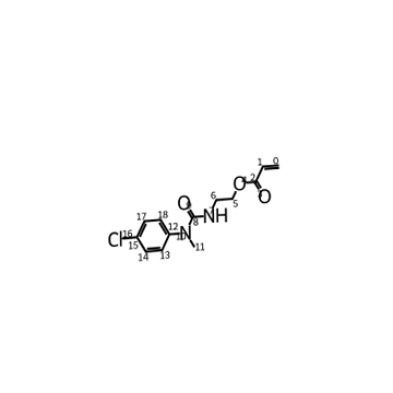 C=CC(=O)OCCNC(=O)N(C)c1ccc(Cl)cc1